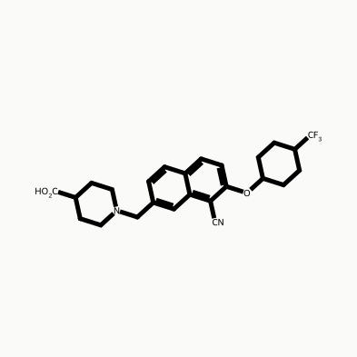 N#Cc1c(OC2CCC(C(F)(F)F)CC2)ccc2ccc(CN3CCC(C(=O)O)CC3)cc12